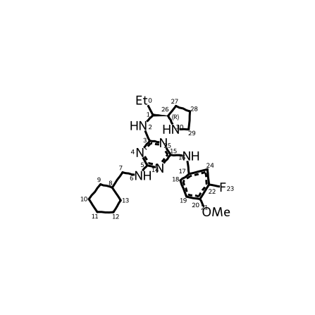 CCC(Nc1nc(NCC2CCCCC2)nc(Nc2ccc(OC)c(F)c2)n1)[C@H]1CCCN1